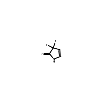 O=C1N[C]=CC1(F)F